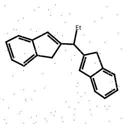 CCC(C1=Cc2ccccc2C1)C1=Cc2ccccc2C1